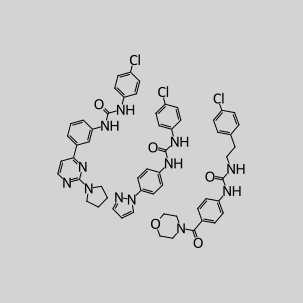 O=C(NCCc1ccc(Cl)cc1)Nc1ccc(C(=O)N2CCOCC2)cc1.O=C(Nc1ccc(Cl)cc1)Nc1ccc(-n2cccn2)cc1.O=C(Nc1ccc(Cl)cc1)Nc1cccc(-c2ccnc(N3CCCC3)n2)c1